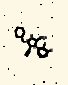 C#CC1[C@@H](c2cccc(Cl)c2F)C(C(=O)O)N[C@H]1CC1CCCCC1